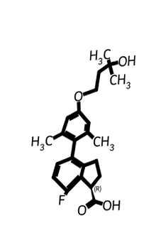 Cc1cc(OCCC(C)(C)O)cc(C)c1-c1ccc(F)c2c1CC[C@H]2C(=O)O